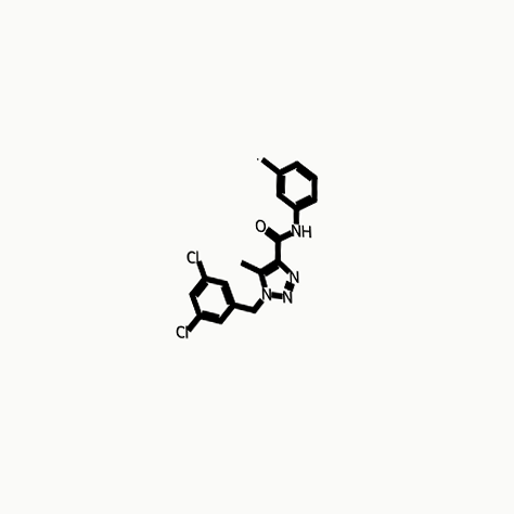 [CH2]c1cccc(NC(=O)c2nnn(Cc3cc(Cl)cc(Cl)c3)c2C)c1